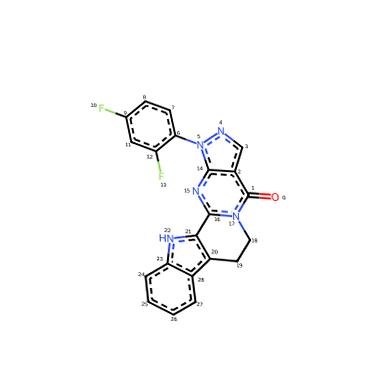 O=c1c2cnn(-c3ccc(F)cc3F)c2nc2n1CCc1c-2[nH]c2ccccc12